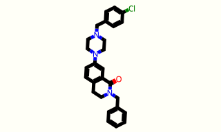 O=C1c2cc(N3CCN(Cc4ccc(Cl)cc4)CC3)ccc2CCN1Cc1ccccc1